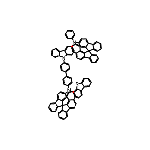 c1ccc(N(c2ccc3c(c2)C2(c4ccccc4-3)c3ccccc3-c3ccc4ccccc4c32)c2ccc3c(c2)c2ccccc2n3-c2ccc(-c3ccc(N(c4ccc5c(c4)C4(c6ccccc6-5)c5ccccc5-c5ccc6ccccc6c54)c4cccc5c4sc4ccccc45)cc3)cc2)cc1